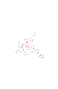 c1ccc(-c2ccc(-c3ccc(N(c4ccc(-c5cccc6c5c(-c5ccccc5)c(-c5ccccc5)c5ccccc56)cc4)c4ccc(-c5ccccc5)cc4-c4ccccc4)cc3)c(-c3ccccc3)c2)cc1